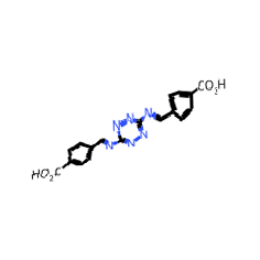 O=C(O)c1ccc(/C=N/c2nnc(/N=C/c3ccc(C(=O)O)cc3)nn2)cc1